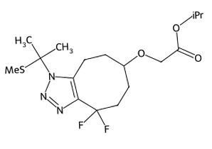 CSC(C)(C)n1nnc2c1CCC(OCC(=O)OC(C)C)CCC2(F)F